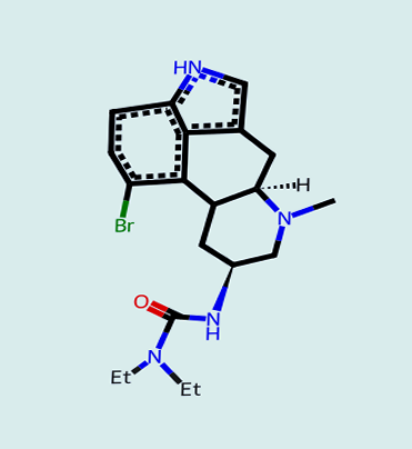 CCN(CC)C(=O)N[C@H]1CC2c3c(Br)ccc4[nH]cc(c34)C[C@H]2N(C)C1